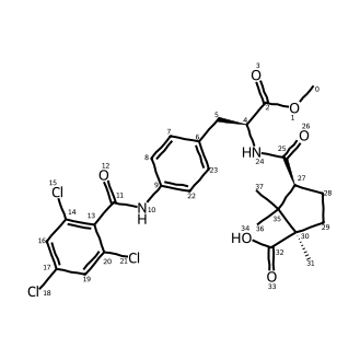 COC(=O)[C@H](Cc1ccc(NC(=O)c2c(Cl)cc(Cl)cc2Cl)cc1)NC(=O)[C@H]1CC[C@@](C)(C(=O)O)C1(C)C